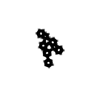 c1cncc(-c2cccc(-n3c4ccccc4c4ccc5c(c6ccccc6n6c7ccccc7cc56)c43)n2)c1